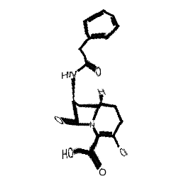 O=C(Cc1ccccc1)N[C@@H]1C(=O)N2C(C(=O)O)=C(Cl)CC[C@@H]12